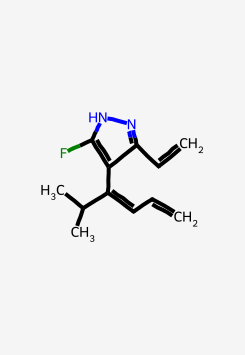 C=C/C=C(\c1c(C=C)n[nH]c1F)C(C)C